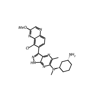 COc1cnc2ccc(-c3n[nH]c4nc(N(C)[C@@H]5CCC[C@@H](N)C5)c(C)nc34)c(Cl)c2n1